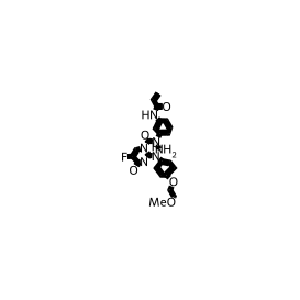 C=CC(=O)Nc1cccc(N(N)C(=O)n2cc(F)c(=O)nc2Nc2ccc(OCCOC)cc2)c1